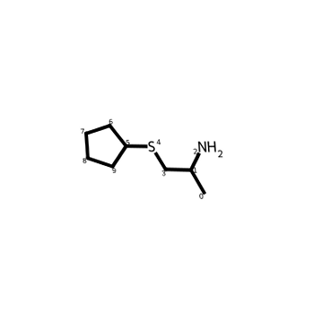 CC(N)CSC1CCCC1